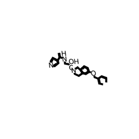 C=C(NCC(O)CN1CCc2cc(OCC(/C=C\C)=C/C)ccc2C1)c1ccncc1